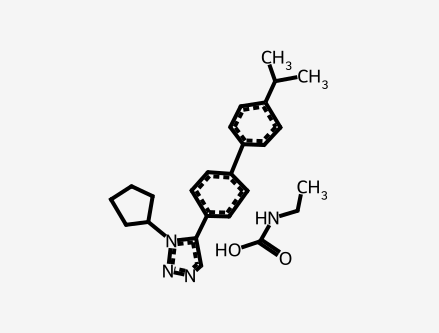 CC(C)c1ccc(-c2ccc(-c3cnnn3C3CCCC3)cc2)cc1.CCNC(=O)O